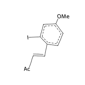 COc1ccc(/C=C/C(C)=O)c(I)c1